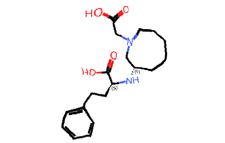 O=C(O)CN1CCCCC[C@H](N[C@@H](CCc2ccccc2)C(=O)O)C1